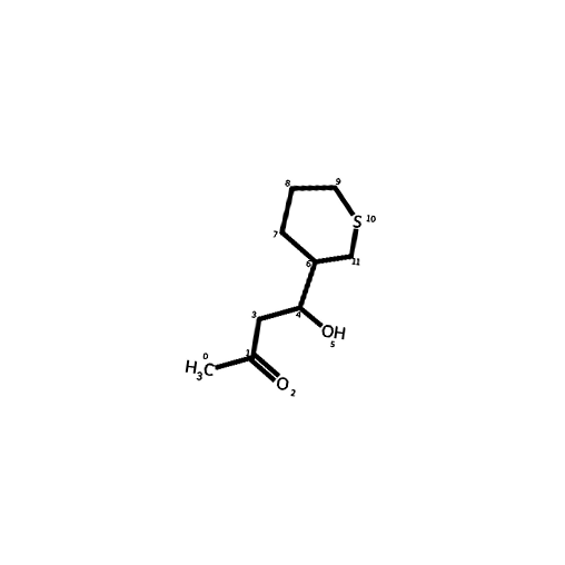 CC(=O)CC(O)C1CCCSC1